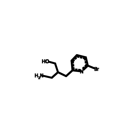 NCC(CO)Cc1cccc(Br)n1